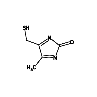 CC1=NC(=O)N=C1CS